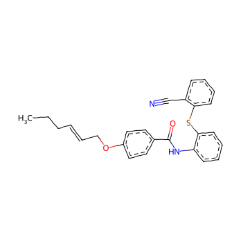 CCCC=CCOc1ccc(C(=O)Nc2ccccc2Sc2ccccc2C#N)cc1